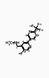 CNCc1cc(-c2cnc(C(F)(F)F)nc2)ncc1F